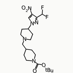 CC(C)(C)OC(=O)N1CCC(CN2CCC(n3cc([N+](=O)[O-])c(C(F)F)n3)CC2)CC1